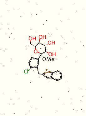 CO[C@]1(c2ccc(Cl)c(Cc3cc4ccccc4s3)c2)O[C@H](CO)[C@@H](O)[C@H](O)[C@H]1O